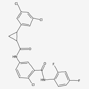 O=C(Nc1ccc(F)cc1F)c1cc(NC(=O)C2CC2c2cc(Cl)cc(Cl)c2)ccc1Cl